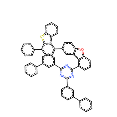 c1ccc(-c2cccc(-c3nc(-c4cccc(-c5ccccc5)c4)nc(-c4cccc5oc6ccc(-c7ccc(-c8ccccc8)c8sc9ccccc9c78)cc6c45)n3)c2)cc1